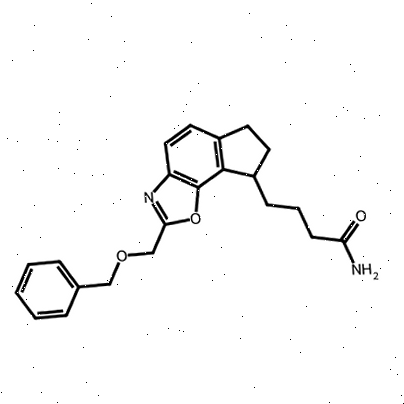 NC(=O)CCCC1CCc2ccc3nc(COCc4ccccc4)oc3c21